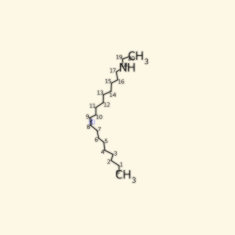 CCCCCCCC/C=C\CCCCCCCCNCC